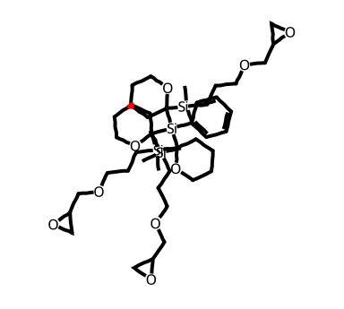 C[Si](C)(CCCOCC1CO1)C1([Si](c2ccccc2)(C2([Si](C)(C)CCCOCC3CO3)CCCCO2)C2([Si](C)(C)CCCOCC3CO3)CCCCO2)CCCCO1